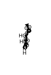 O=C(N[C@@H]1COC2(CCNCC2)C1)OCC(O)COc1cccc(S(=O)(=O)C2CC2)c1